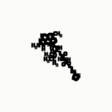 CN(Cc1cnc2nc(N)[nH]c(=N)c2n1)c1ccc(C(=O)N[C@@H](CCC(=O)NNC(=O)OCCSSc2ccccn2)C(=O)OC(C)(C)C)cc1